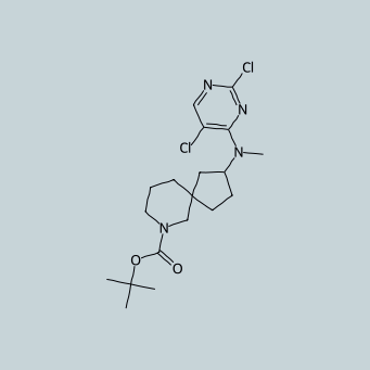 CN(c1nc(Cl)ncc1Cl)C1CCC2(CCCN(C(=O)OC(C)(C)C)C2)C1